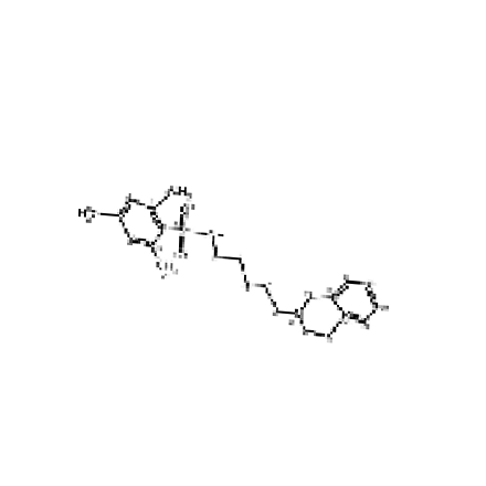 Cc1cc(C)c(S(=O)(=O)NCCCCCN2CCc3ccccc3C2)c(C)c1